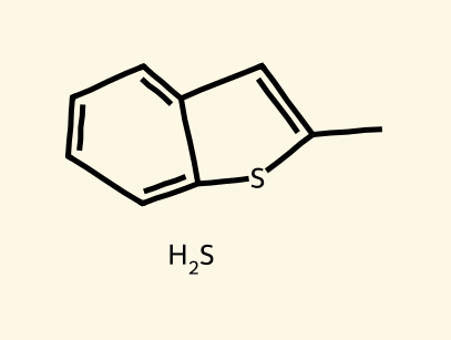 Cc1cc2ccccc2s1.S